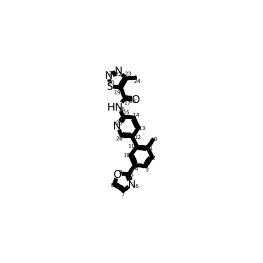 Cc1ccc(-c2ncco2)cc1-c1ccc(NC(=O)c2snnc2C)nc1